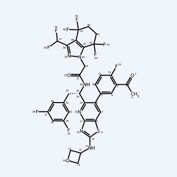 CC(=O)c1cc(-c2cc3sc(NC4COC4)nc3nc2[C@H](Cc2cc(F)cc(F)c2)NC(=O)Cn2nc(C(F)F)c3c2C(F)(F)CCC3(F)F)ccc1F